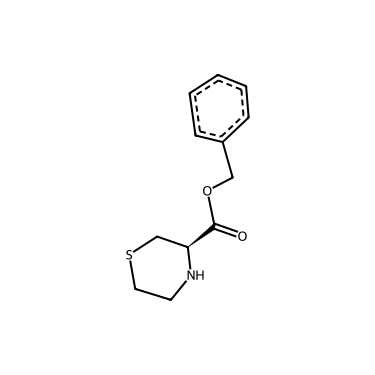 O=C(OCc1ccccc1)[C@@H]1CSCCN1